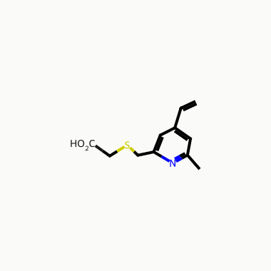 C=Cc1cc(C)nc(CSCC(=O)O)c1